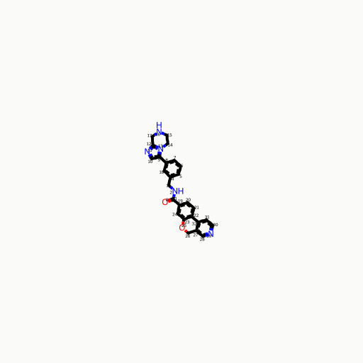 O=C(NCc1cccc(-c2cnc3n2CCNC3)c1)c1ccc2c(c1)OCc1cnccc1-2